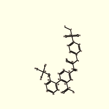 CCS(=O)(=O)c1ccc(CC(=O)Nc2ccc(-c3ccccc3OC(F)(F)F)c(C(C)=O)c2)cc1